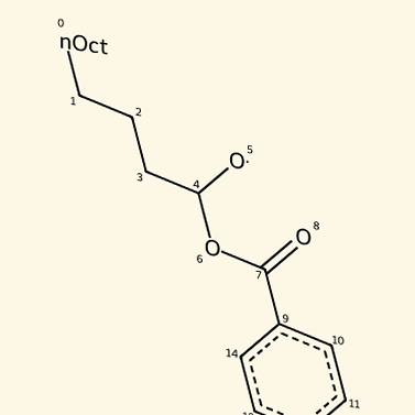 CCCCCCCCCCCC([O])OC(=O)c1ccccc1